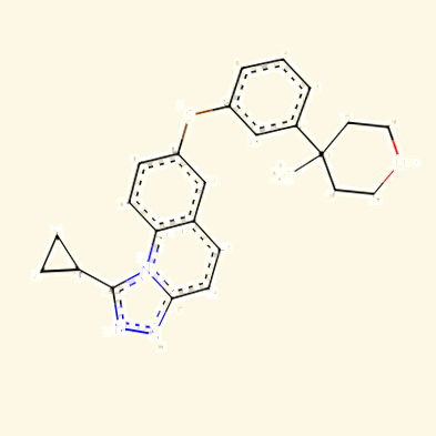 N#CC1(c2cccc(Sc3ccc4c(ccc5nnc(C6CC6)n54)c3)c2)CCOCC1